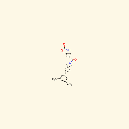 Cc1cc(C)cc(C2CC3(C2)CN(C(=O)C2CC4(COC(=O)N4)C2)C3)c1